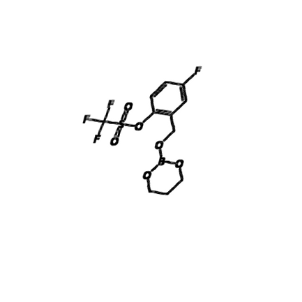 O=S(=O)(Oc1ccc(F)cc1COB1OCCCO1)C(F)(F)F